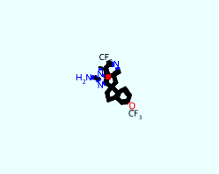 Cn1cc(C2(Cc3ccc(C(F)(F)F)nc3)CCc3cc(OC(F)(F)F)ccc32)nc1N